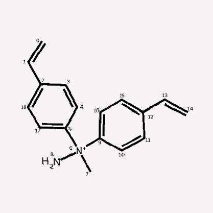 C=Cc1ccc([N+](C)(N)c2ccc(C=C)cc2)cc1